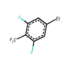 CCc1cc(F)c(C(F)(F)F)c(F)c1